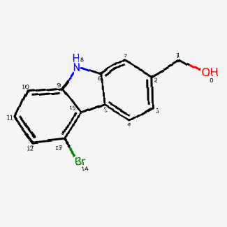 OCc1ccc2c(c1)[nH]c1cccc(Br)c12